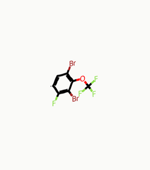 Fc1[c]cc(Br)c(OC(F)(F)F)c1Br